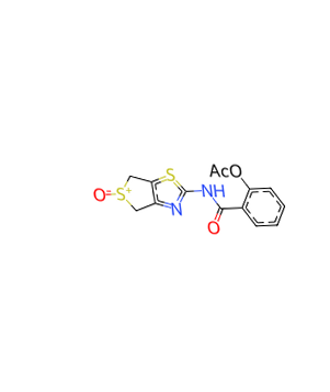 CC(=O)Oc1ccccc1C(=O)Nc1nc2c(s1)C[S+]([O-])C2